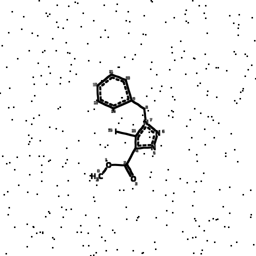 COC(=O)c1nnn(Cc2ccccc2)c1I